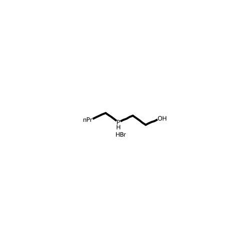 Br.CCCCPCCO